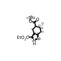 CCOC(=O)c1[nH]nc2c1CC(C(=O)OC(C)(C)C)[C@H](C)C2